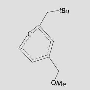 COCc1cccc(CC(C)(C)C)c1